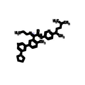 CCC/N=C(/C(=O)Nc1ccc(N(C)CCN(C)C)nc1)c1cc(-c2cncc(N3CCCC3)c2)ccc1C